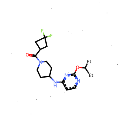 CCC(CC)Oc1n[c]cc(NC2CCN(C(=O)C3CC(F)(F)C3)CC2)n1